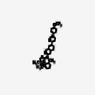 Cc1cccc(C)c1N1/C(=N/c2cc3ccc(C4=CCN(c5ccc(OC(F)(F)F)cc5)C=N4)cc3cn2)SCC1(C)O